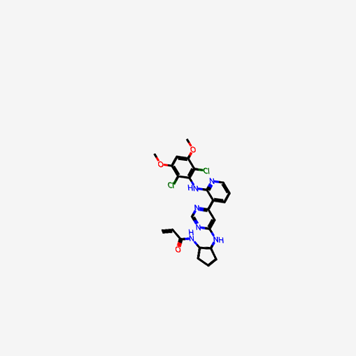 C=CC(=O)NC1CCCC1Nc1cc(-c2cccnc2Nc2c(Cl)c(OC)cc(OC)c2Cl)ncn1